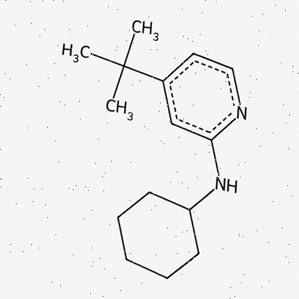 CC(C)(C)c1ccnc(NC2CCCCC2)c1